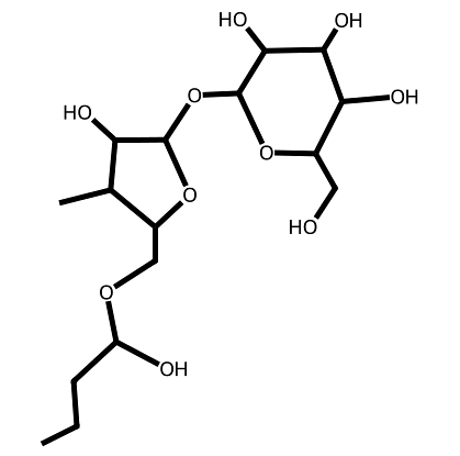 CCCC(O)OCC1OC(OC2OC(CO)C(O)C(O)C2O)C(O)C1C